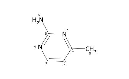 Cc1[c]cnc(N)n1